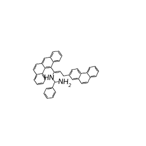 NC(N/C(=C\Cc1ccc2c(ccc3ccccc32)c1)c1c2ccccc2cc2ccc3ccccc3c12)c1ccccc1